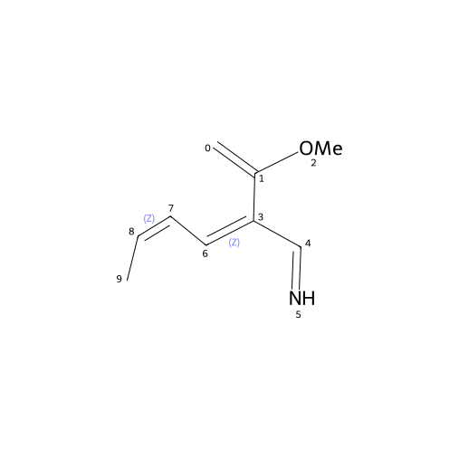 C=C(OC)/C(C=N)=C\C=C/C